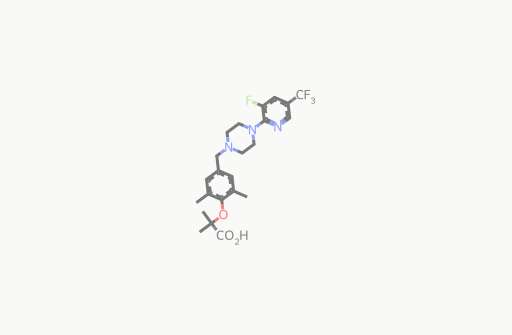 Cc1cc(CN2CCN(c3ncc(C(F)(F)F)cc3F)CC2)cc(C)c1OC(C)(C)C(=O)O